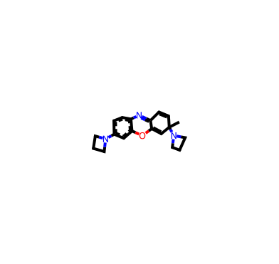 CC1(N2CCC2)C=CC2=Nc3ccc(N4CCC4)cc3OC2=C1